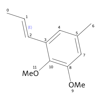 C/C=C/c1cc(C)cc(OC)c1OC